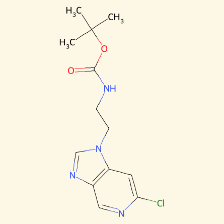 CC(C)(C)OC(=O)NCCn1cnc2cnc(Cl)cc21